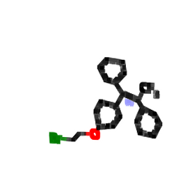 FC(F)(F)/C(=C(\c1ccccc1)c1ccc(OCCBr)cc1)c1ccccc1